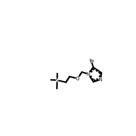 CS(C)(C)CCOCn1cncc1Br